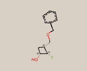 O[C@@H]1C[C@H](COCc2ccccc2)[C@@H]1F